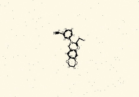 CCC(=O)N(Cc1ccc2c(c1)OCCO2)c1cccc(C#N)c1